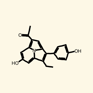 CCc1c(-c2ccc(O)cc2)c2cc(C(C)=O)c3cc(O)cc1n32